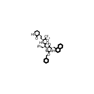 CC(C)C[C@H](NC(=O)[C@H](Cc1cccc2ccccc12)NC(=O)OCc1ccccc1)C(=O)N[C@@H](CC[C@@H]1CCCNC1=O)C(=O)C(F)(F)F